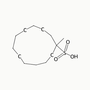 CC1(S(=O)(=O)O)CCCCCCCCCCC1